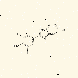 Nc1c(F)cc(-c2nc3cc(F)ccc3s2)cc1I